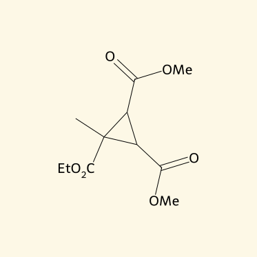 CCOC(=O)C1(C)C(C(=O)OC)C1C(=O)OC